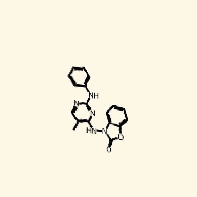 Cc1cnc(Nc2ccccc2)nc1Nn1c(=O)oc2ccccc21